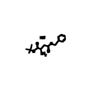 CC(C)(C)OC(=O)C(N)CC(=O)OCc1ccccc1.Cl